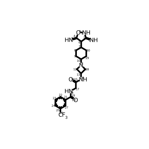 N=C1NOC(=N)C1C1CCC(N2CC(NC(=O)CNC(=O)c3cccc(C(F)(F)F)c3)C2)CC1